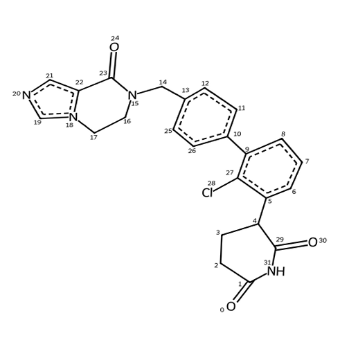 O=C1CCC(c2cccc(-c3ccc(CN4CCn5cncc5C4=O)cc3)c2Cl)C(=O)N1